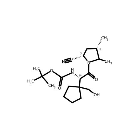 CC1[C@@H](C)C[C@@H](C#N)N1C(=O)[C@@H](NC(=O)OC(C)(C)C)C1(CO)CCCC1